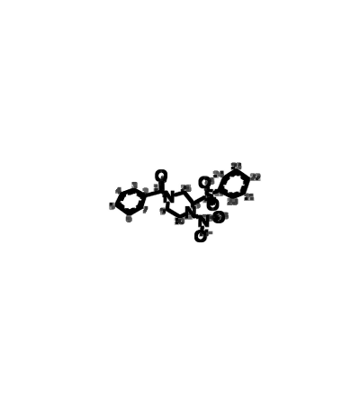 O=C(c1ccccc1)N1CCN([N+](=O)[O-])C(S(=O)(=O)c2ccccc2)C1